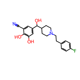 N#Cc1cc(C(O)C2CCN(CCc3ccc(F)cc3)CC2)cc(O)c1O